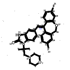 CC(C)(CN1CCOCC1)n1c(=O)[nH]c2cc(/C=C3\c4ccc(F)cc4COc4cc(F)ccc43)ccc21